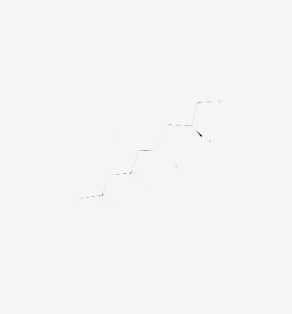 CCC(C)C(=O)OC(=O)[C@H](O)[C@@H](O)[C@H](O)[C@H](O)CO